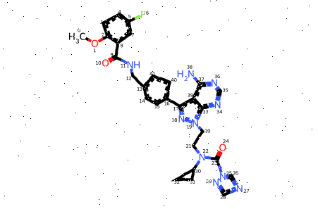 COc1ccc(F)cc1C(=O)NCc1ccc(-c2nn(CCN(C(=O)n3cncn3)C3CC3)c3ncnc(N)c23)cc1